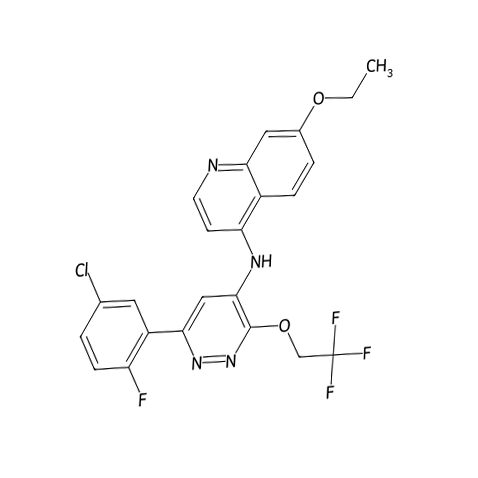 CCOc1ccc2c(Nc3cc(-c4cc(Cl)ccc4F)nnc3OCC(F)(F)F)ccnc2c1